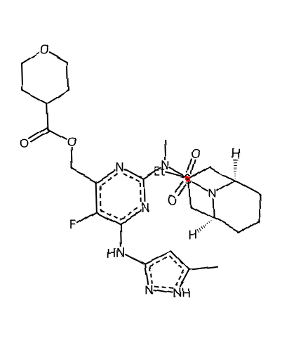 CCS(=O)(=O)N1[C@@H]2CCC[C@H]1CC(N(C)c1nc(COC(=O)C3CCOCC3)c(F)c(Nc3cc(C)[nH]n3)n1)C2